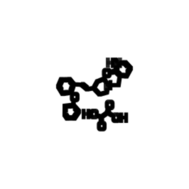 O=C(O)C(=O)O.O=c1[nH]cccc1CN1CCC(C=Cc2ccccc2Oc2ccccc2)CC1